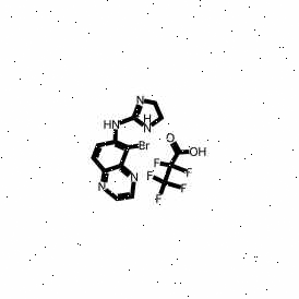 Brc1c(NC2=NCCN2)ccc2nccnc12.O=C(O)C(F)(F)C(F)(F)F